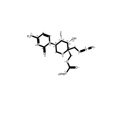 CCCCCCCC(=O)OC[C@@]1(CN=[N+]=[N-])OC[C@@H](n2ccc(N)nc2=O)[C@H](F)[C@@H]1O